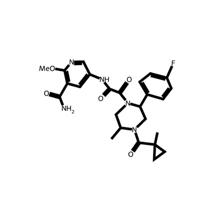 COc1ncc(NC(=O)C(=O)N2CC(C)N(C(=O)C3(C)CC3)CC2c2ccc(F)cc2)cc1C(N)=O